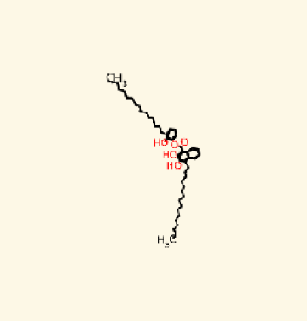 CCCCCCCCCCCCCCCCc1cccc(OC(=O)c2c(O)c(O)c(CCCCCCCCCCCCCCCC)c3ccccc23)c1O